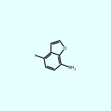 Nc1ccc(I)c2ccoc12